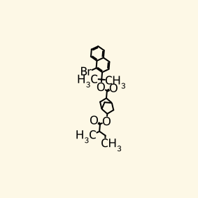 CCC(C)C(=O)OC1CC2CC1CC2C(=O)OC(C)(C)c1ccc2ccccc2c1Br